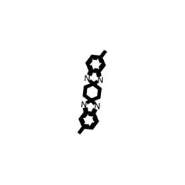 Cc1ccc2c(c1)=NC1(CCC3(CC1)N=c1ccc(C)cc1=N3)N=2